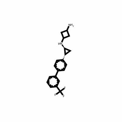 NC1CC(N[C@H]2C[C@@H]2c2ccc(-c3cccc(C(F)(F)F)c3)cc2)C1